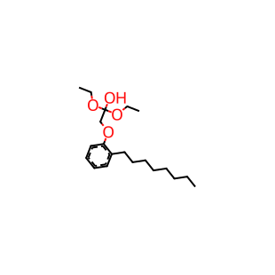 CCCCCCCCc1ccccc1OCC(O)(OCC)OCC